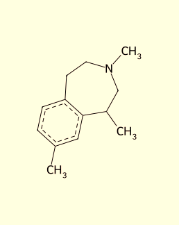 Cc1ccc2c(c1)C(C)CN(C)CC2